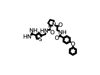 N=C(N)c1csc(CNC(=O)[C@H]2CCCN2C(=O)CNC(=O)c2ccc(Oc3ccccc3)cc2)c1